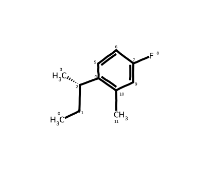 C[CH][C@H](C)c1ccc(F)cc1C